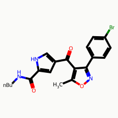 CCCCNC(=O)c1cc(C(=O)c2c(-c3ccc(Br)cc3)noc2C)c[nH]1